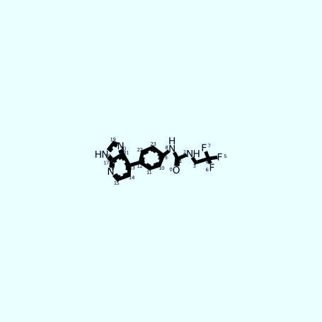 O=C(NCC(F)(F)F)Nc1ccc(-c2ccnc3[nH]cnc23)cc1